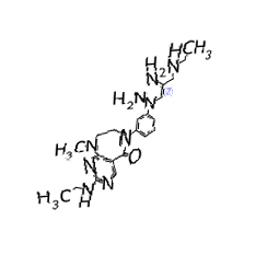 CCNC/C(N)=C/N(N)c1cccc(N2CCN(C)c3nc(NCC)ncc3C2=O)c1